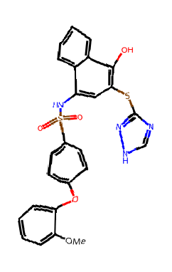 COc1ccccc1Oc1ccc(S(=O)(=O)Nc2cc(Sc3nc[nH]n3)c(O)c3ccccc23)cc1